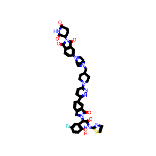 O=C1CCC(N2C(=O)c3ccc(N4CC5CC4CN5CC4CCN(c5ccc(-c6ccc7c(c6)C(=O)N(C(C(=O)Nc6nccs6)c6cc(F)ccc6O)C7)nn5)CC4)cc3C2=O)C(=O)N1